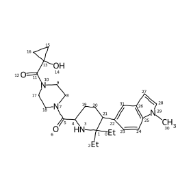 CCC1(CC)NC(C(=O)N2CCN(C(=O)C3(O)CC3)CC2)CCC1c1ccc2c(ccn2C)c1